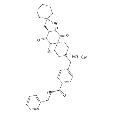 CCCCN1C(=O)[C@@H](CC2(O)CCCCC2)NC(=O)C12CCN(Cc1ccc(C(=O)NCc3ccccn3)cc1)CC2.Cl.Cl